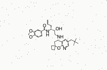 C=CC[C@H](NC(=O)c1ccc2c(c1)OCO2)[C@H](O)CN[C@H]1CC2(CCC2)Oc2ncc(CC(C)(C)C)cc21